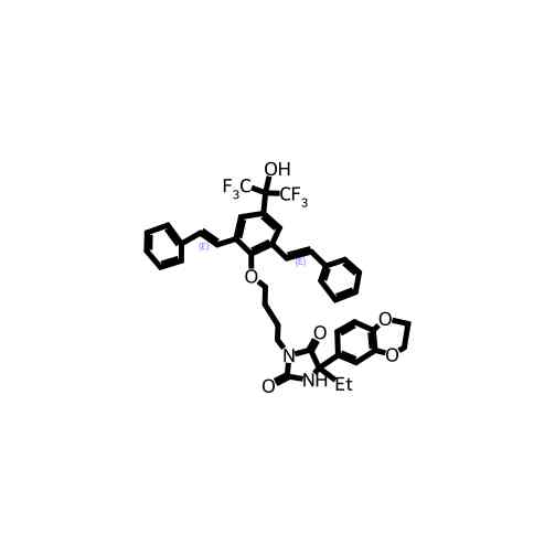 CCC1(c2ccc3c(c2)OCCO3)NC(=O)N(CCCCOc2c(/C=C/c3ccccc3)cc(C(O)(C(F)(F)F)C(F)(F)F)cc2/C=C/c2ccccc2)C1=O